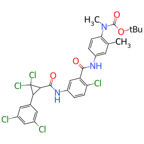 Cc1cc(NC(=O)c2cc(NC(=O)C3C(c4cc(Cl)cc(Cl)c4)C3(Cl)Cl)ccc2Cl)ccc1N(C)C(=O)OC(C)(C)C